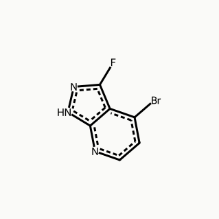 Fc1n[nH]c2nccc(Br)c12